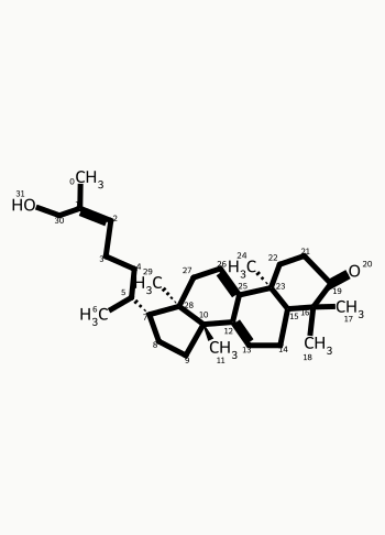 CC(=CCCC(C)[C@H]1CC[C@@]2(C)C3=CCC4C(C)(C)C(=O)CC[C@]4(C)C3=CC[C@]12C)CO